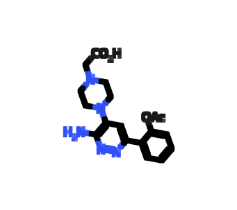 CC(=O)Oc1ccccc1-c1cc(N2CCN(CC(=O)O)CC2)c(N)nn1